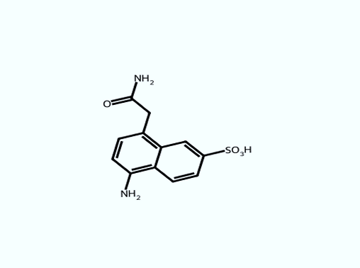 NC(=O)Cc1ccc(N)c2ccc(S(=O)(=O)O)cc12